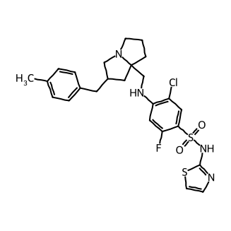 Cc1ccc(CC2CN3CCCC3(CNc3cc(F)c(S(=O)(=O)Nc4nccs4)cc3Cl)C2)cc1